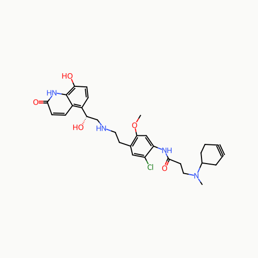 COc1cc(NC(=O)CCN(C)C2CC#CCC2)c(Cl)cc1CCNC[C@H](O)c1ccc(O)c2[nH]c(=O)ccc12